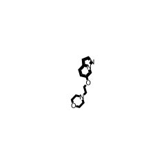 c1cc2ccc(OCCN3CCOCC3)cn2n1